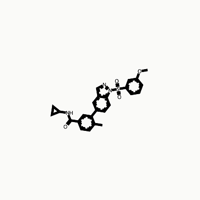 COc1cccc(S(=O)(=O)n2ncc3cc(-c4cc(C(=O)NC5CC5)ccc4C)ccc32)c1